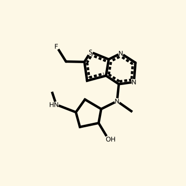 CNC1CC(O)C(N(C)c2ncnc3sc(CF)cc23)C1